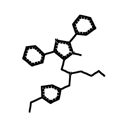 CCCCN(Cc1ccc(CC)cc1)Cc1c(-c2ccccc2)nc(-c2ccccc2)n1C